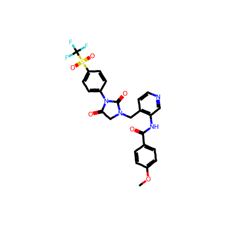 COc1ccc(C(=O)Nc2cnccc2CN2CC(=O)N(c3ccc(S(=O)(=O)C(F)(F)F)cc3)C2=O)cc1